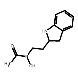 CC(=O)N(O)CCC1Cc2ccccc2N1